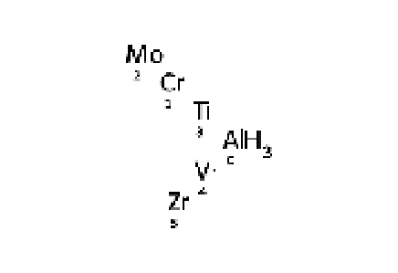 [AlH3].[Cr].[Mo].[Ti].[V].[Zr]